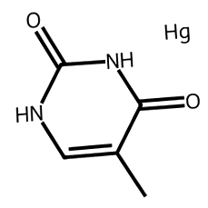 Cc1c[nH]c(=O)[nH]c1=O.[Hg]